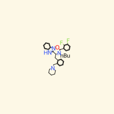 CCCCN(C(=O)c1cccc(F)c1F)C(Cc1ccccc1CN1CCCCC1)c1nc2ccccc2[nH]1